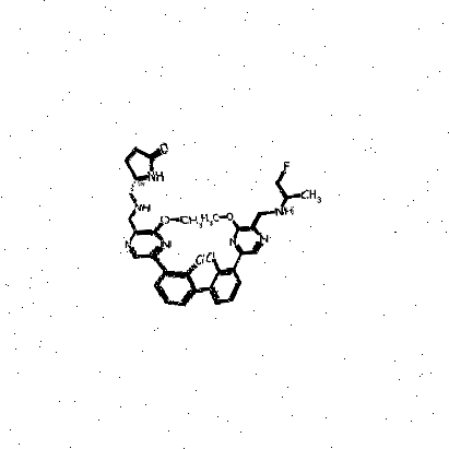 COc1nc(-c2cccc(-c3cccc(-c4cnc(CNC(C)CF)c(OC)n4)c3Cl)c2Cl)cnc1CNC[C@@H]1CCC(=O)N1